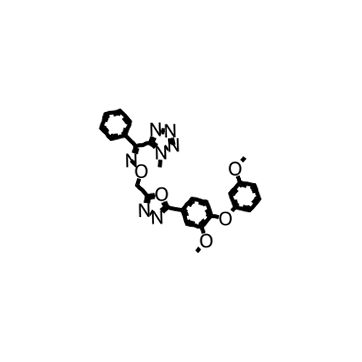 COc1cccc(Oc2ccc(-c3nnc(CO/N=C(/c4ccccc4)c4nnnn4C)o3)cc2OC)c1